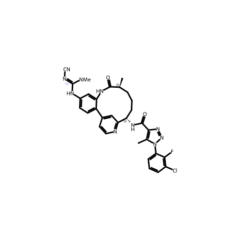 CN/C(=N\C#N)Nc1ccc2c(c1)NC(=O)[C@@H](C)CCC[C@H](NC(=O)c1nnn(-c3cccc(Cl)c3F)c1C)c1cc-2ccn1